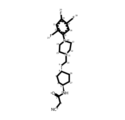 N#CCC(=O)N[C@H]1CC[C@H](CCN2CCN(c3cc(F)c(F)cc3F)CC2)CC1